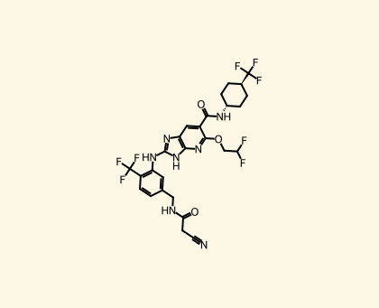 N#CCC(=O)NCc1ccc(C(F)(F)F)c(Nc2nc3cc(C(=O)N[C@H]4CC[C@H](C(F)(F)F)CC4)c(OCC(F)F)nc3[nH]2)c1